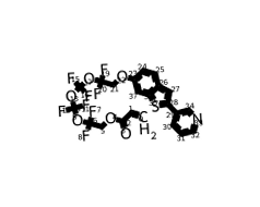 C=CC(=O)OCC(F)(F)OC(F)(F)OC(F)(F)OC(F)(F)COc1ccc2cc(-c3cccnc3)sc2c1